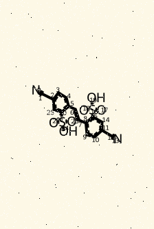 N#Cc1ccc(/C=C/c2ccc(C#N)cc2S(=O)(=O)O)c(S(=O)(=O)O)c1